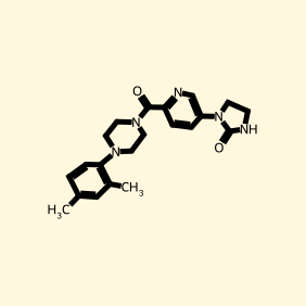 Cc1ccc(N2CCN(C(=O)c3ccc(N4CCNC4=O)cn3)CC2)c(C)c1